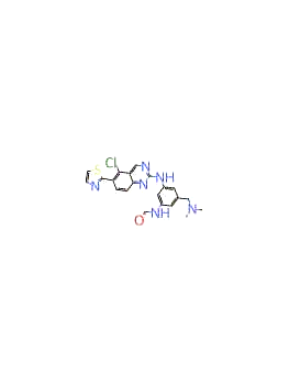 CN(C)Cc1cc(NC=O)cc(Nc2ncc3c(Cl)c(-c4nccs4)ccc3n2)c1